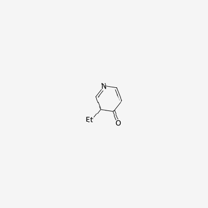 CCC1C=NC=CC1=O